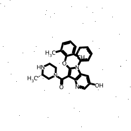 Cc1cccc(C)c1Oc1c(C(=O)N2CCN[C@@H](C)C2)c2ncc(O)cc2n1C1=CC=CCC1